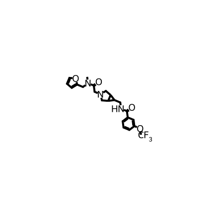 CN(Cc1ccco1)C(=O)CN1CC2C(CNC(=O)c3cccc(OC(F)(F)F)c3)C2C1